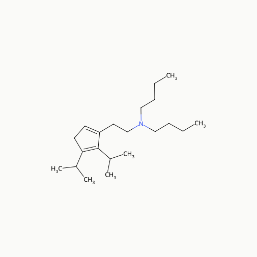 CCCCN(CCCC)CCC1=CCC(C(C)C)=C1C(C)C